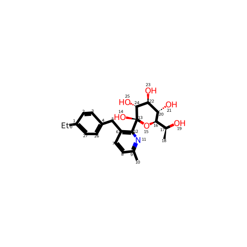 CCc1ccc(Cc2ccc(C)nc2[C@@]2(O)O[C@H]([C@H](C)O)[C@@H](O)[C@H](O)[C@H]2O)cc1